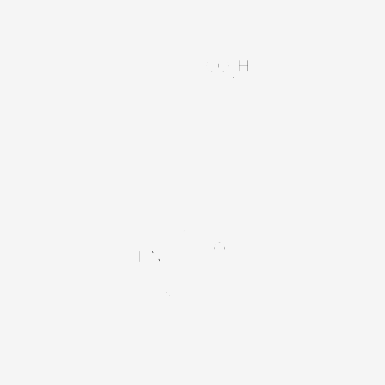 C=C(C)NC(=O)CCCCC(=O)O